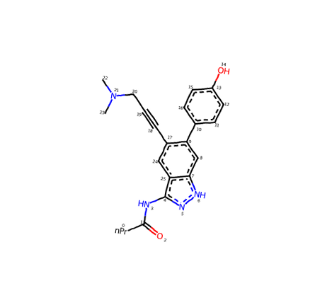 CCCC(=O)Nc1n[nH]c2cc(-c3ccc(O)cc3)c(C#CCN(C)C)cc12